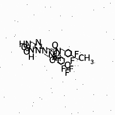 CCC(F)(F)c1ccc(CNC(=O)[C@H]2CN(c3cnc4c(n3)NS(=O)(=O)NC4)CCN2S(=O)(=O)c2ccc(OC(F)(F)F)cc2)cc1